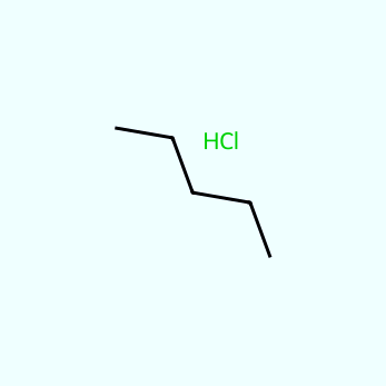 CCCCC.Cl